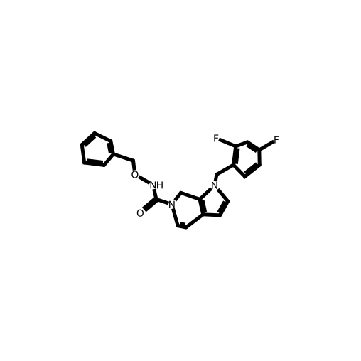 O=C(NOCc1ccccc1)N1C=Cc2ccn(Cc3ccc(F)cc3F)c2C1